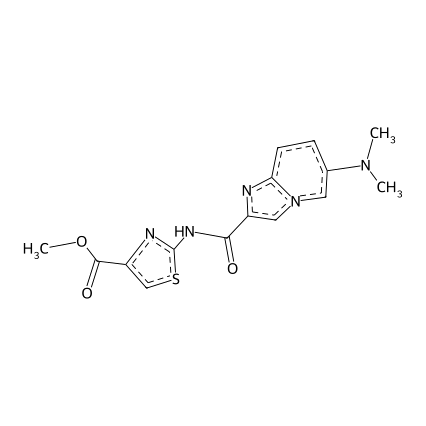 COC(=O)c1csc(NC(=O)c2cn3cc(N(C)C)ccc3n2)n1